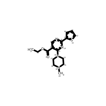 CCOC(=O)c1cnc(-c2cccs2)nc1N1CCN(C)CC1